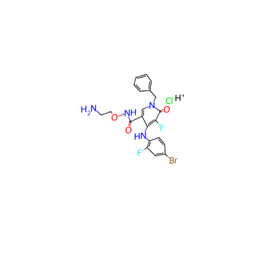 NCCONC(=O)c1cn(Cc2ccccc2)c(=O)c(F)c1Nc1ccc(Br)cc1F.[Cl-].[H+]